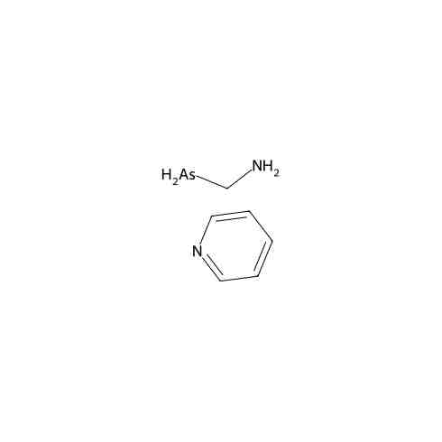 NC[AsH2].c1ccncc1